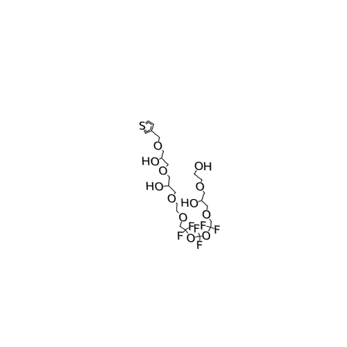 OCCOCC(O)COCC(F)(F)OC(F)(F)OC(F)(F)COCCOCC(O)COCC(O)COCc1ccsc1